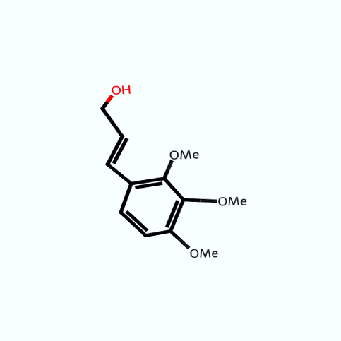 COc1ccc(C=CCO)c(OC)c1OC